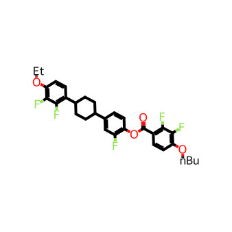 CCCCOc1ccc(C(=O)Oc2ccc(C3CCC(c4ccc(OCC)c(F)c4F)CC3)cc2F)c(F)c1F